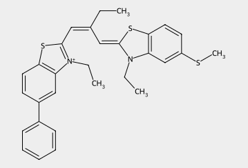 CCC(=Cc1sc2ccc(-c3ccccc3)cc2[n+]1CC)C=C1Sc2ccc(SC)cc2N1CC